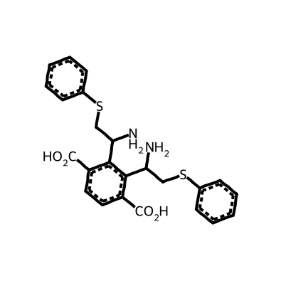 NC(CSc1ccccc1)c1c(C(=O)O)ccc(C(=O)O)c1C(N)CSc1ccccc1